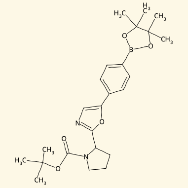 CC(C)(C)OC(=O)N1CCCC1c1ncc(-c2ccc(B3OC(C)(C)C(C)(C)O3)cc2)o1